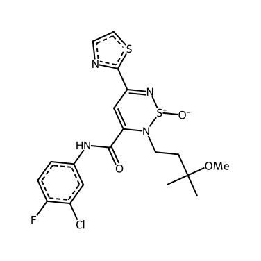 COC(C)(C)CCN1C(C(=O)Nc2ccc(F)c(Cl)c2)=CC(c2nccs2)=N[S+]1[O-]